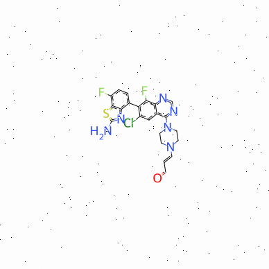 Nc1nc2c(-c3c(Cl)cc4c(N5CCN(C=CC=O)CC5)ncnc4c3F)ccc(F)c2s1